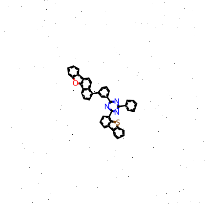 c1ccc(-c2nc(-c3cccc(-c4cccc5c4ccc4c6ccccc6oc54)c3)nc(-c3cccc4c3sc3ccccc34)n2)cc1